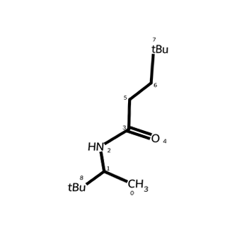 CC(NC(=O)CCC(C)(C)C)C(C)(C)C